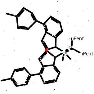 CCCCC[Si](CCCCC)=[Hf]([CH3])([CH3])([CH]1C=Cc2c(-c3ccc(C)cc3)cccc21)[CH]1C=Cc2c(-c3ccc(C)cc3)cccc21